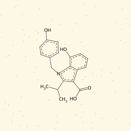 CC(C)c1c(C(=O)O)c2cccc(O)c2n1Cc1ccc(O)cc1